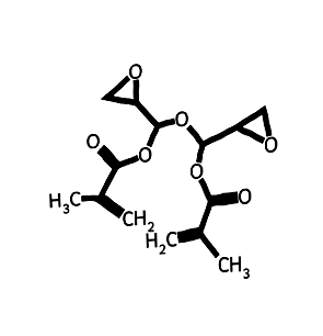 C=C(C)C(=O)OC(OC(OC(=O)C(=C)C)C1CO1)C1CO1